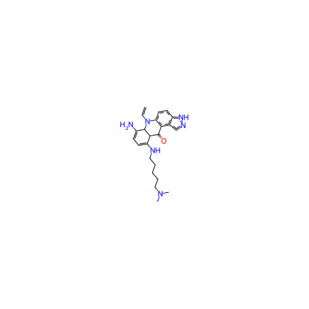 C=CN1c2ccc3[nH]ncc3c2C(=O)C2C(NCCCCCN(C)C)=CC=C(N)C21